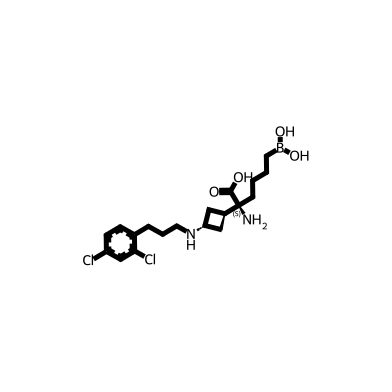 N[C@](CCCCB(O)O)(C(=O)O)[C@H]1C[C@H](NCCCc2ccc(Cl)cc2Cl)C1